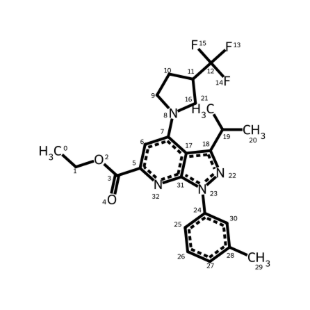 CCOC(=O)c1cc(N2CCC(C(F)(F)F)C2)c2c(C(C)C)nn(-c3cccc(C)c3)c2n1